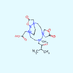 CC(C)C(=O)C[N+]1(C)CC[N+]2(CC(=O)O)CC[N+]3(CC[N+]4(COC(=O)C4)C1)CC(=O)ON23